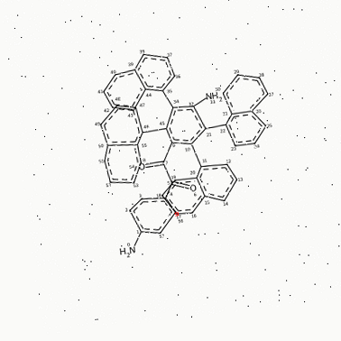 Nc1ccc(C(=O)C(=O)c2c(-c3cccc4ccccc34)c(-c3cccc4ccccc34)c(N)c(-c3cccc4ccccc34)c2-c2cccc3ccccc23)cc1